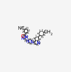 C=C1CC=CC(c2ccc3c(N4CCN(Cc5noc(-c6cccc(C#N)c6)n5)CC4)ccnc3c2)=CC1